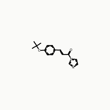 CC(C)(C)Oc1ccc(/C=C/C(=O)n2ccnc2)cc1